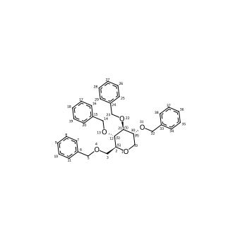 [CH]1O[C@@H](COCc2ccccc2)[C@H](OCc2ccccc2)[C@@H](OCc2ccccc2)[C@@H]1OCc1ccccc1